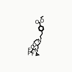 CCOC(=O)c1ccc(CCCN2CCOC(CN(C(=O)C(F)(F)F)C3CC3)C2)cc1